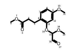 COC(=O)CCc1ccc(OC)cc1OC(C=O)OC